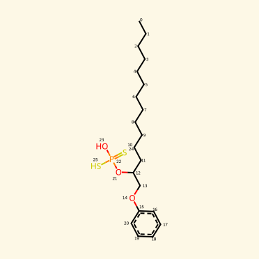 CCCCCCCCCCCCC(COc1ccccc1)OP(O)(=S)S